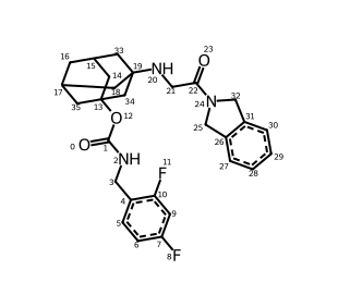 O=C(NCc1ccc(F)cc1F)OC12CC3CC(CC(NCC(=O)N4Cc5ccccc5C4)(C3)C1)C2